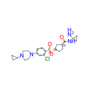 NC1(NC(=O)[C@H]2CC[C@H](S(=O)(=O)c3ccc(N4CCN(C5CC5)CC4)cc3Cl)C2)CC1